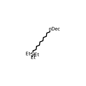 [CH2]CCCCCCCCCCCCCCCCCCC[Si](CC)(CC)CC